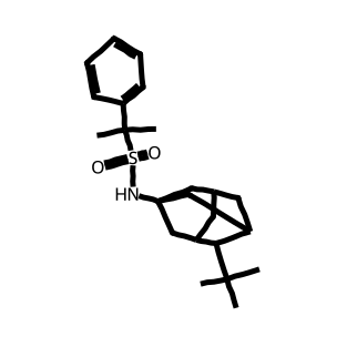 CC(C)(C)C1C2CC3CC1CC(NS(=O)(=O)C(C)(C)c1ccccc1)(C3)C2